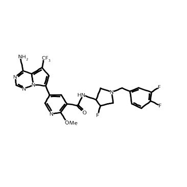 COc1ncc(-c2cc(C(F)(F)F)c3c(N)ncnn23)cc1C(=O)NC1CN(Cc2ccc(F)c(F)c2)CC1F